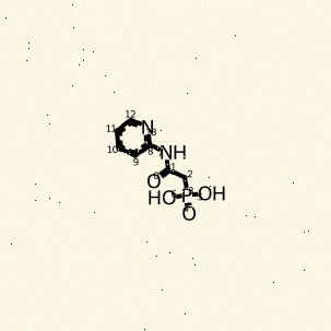 O=C(CP(=O)(O)O)Nc1ccccn1